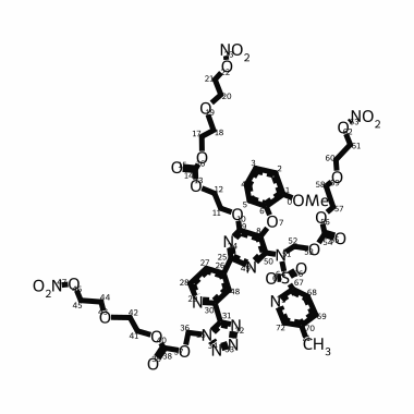 COc1ccccc1Oc1c(OCCOC(=O)OCCOCCO[N+](=O)[O-])nc(-c2ccnc(-c3nnnn3COC(=O)OCCOCCO[N+](=O)[O-])c2)nc1N(COC(=O)OCCOCCO[N+](=O)[O-])S(=O)(=O)c1ccc(C)cn1